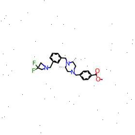 COC(=O)c1ccc(CN2C[C@@H](C)N(Cc3cccc(CN4CC(F)(F)C4)c3)[C@@H](C)C2)cc1